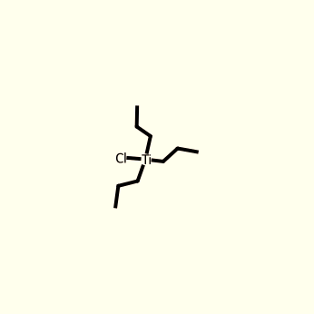 CC[CH2][Ti]([Cl])([CH2]CC)[CH2]CC